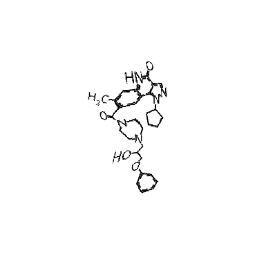 Cc1cc2[nH]c(=O)c3cnn(C4CCCC4)c3c2cc1C(=O)N1CCN(CC(O)COc2ccccc2)CC1